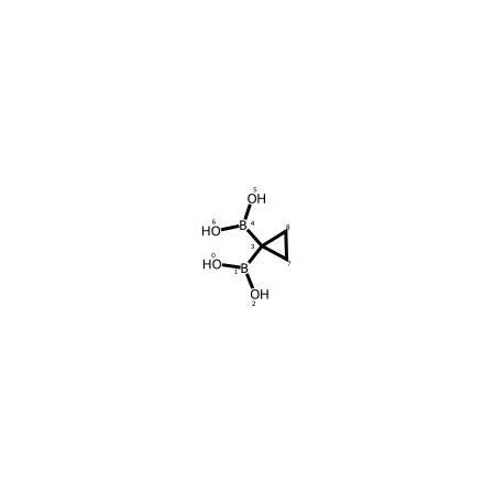 OB(O)C1(B(O)O)CC1